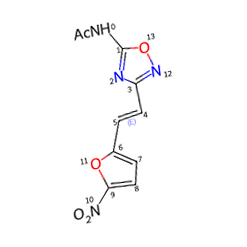 CC(=O)Nc1nc(/C=C/c2ccc([N+](=O)[O-])o2)no1